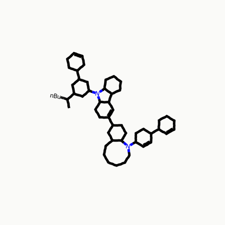 CCCCC(C)C1CC(C2CC=CCC2)CC(N2C3CCC(C4CCC5C(CCCCCCN5C5C=CC(C6C=CCCC6)CC5)C4)=CC3C3CCCCC32)C1